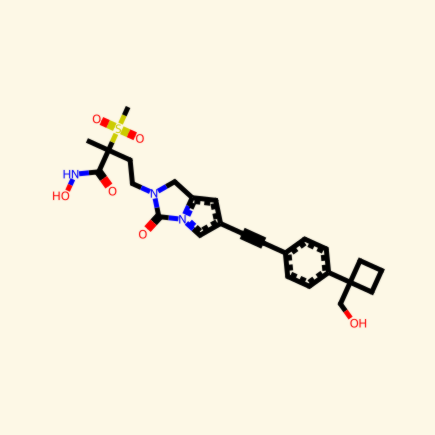 CC(CCN1Cc2cc(C#Cc3ccc(C4(CO)CCC4)cc3)cn2C1=O)(C(=O)NO)S(C)(=O)=O